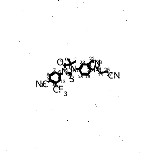 CC1(C)C(=O)N(c2ccc(C#N)c(C(F)(F)F)c2)C(=S)N1c1ccc2c(cnn2CCC#N)c1